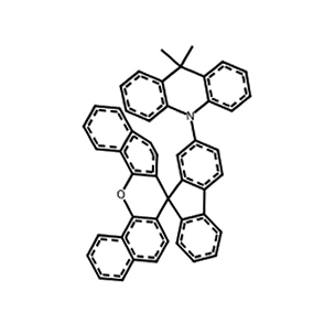 CC1(C)c2ccccc2N(c2ccc3c(c2)C2(c4ccccc4-3)c3ccc4ccccc4c3Oc3c2ccc2ccccc32)c2ccccc21